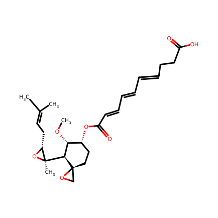 CO[C@@H]1[C@H](OC(=O)/C=C/C=C/C=C/CCC(=O)O)CC[C@]2(CO2)[C@H]1[C@@]1(C)O[C@@H]1CC=C(C)C